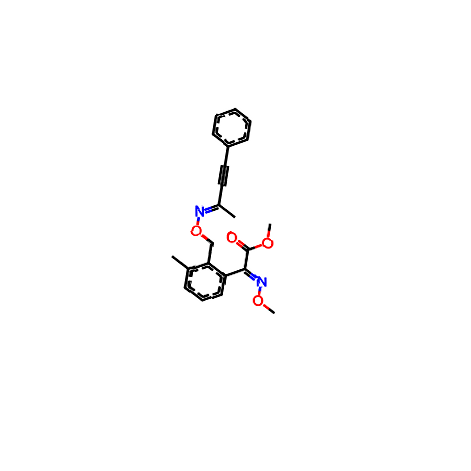 CO/N=C(/C(=O)OC)c1cccc(C)c1CO/N=C(\C)C#Cc1ccccc1